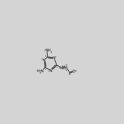 Nc1nc(N)nc(N)n1.O=[CH][Mo]